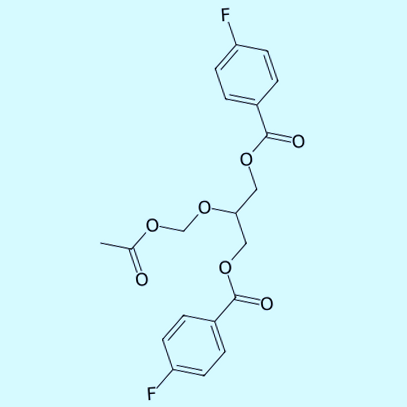 CC(=O)OCOC(COC(=O)c1ccc(F)cc1)COC(=O)c1ccc(F)cc1